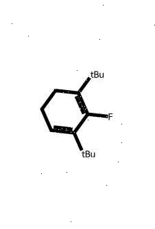 CC(C)(C)C1=CCCC(C(C)(C)C)=C1F